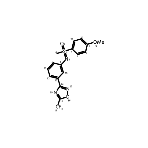 COc1ccc(S(C)(=O)=Nc2cccc(-c3noc(C(F)(F)F)n3)c2)cc1